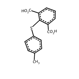 Cc1ccc(Sc2c(C(=O)O)cccc2C(=O)O)cc1